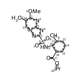 COc1nc2nc(S(=O)(=O)Nc3c(C)cccc3C(=O)OC(C)C)nn2cc1C